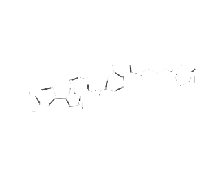 COc1ccc(-c2cnc3c(Nc4ccc(C(=O)NCCCN5CCN(C)C(=O)C5)c(C)c4)nccn23)c(F)c1F